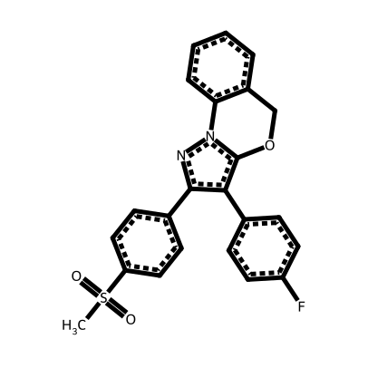 CS(=O)(=O)c1ccc(-c2nn3c(c2-c2ccc(F)cc2)OCc2ccccc2-3)cc1